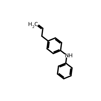 C=CCc1ccc(Nc2ccccc2)cc1